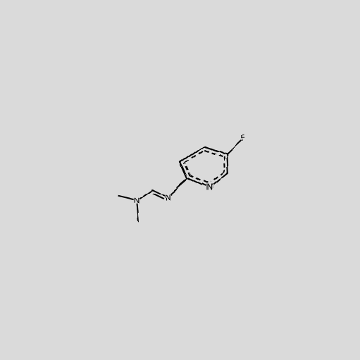 CN(C)C=Nc1ccc(F)cn1